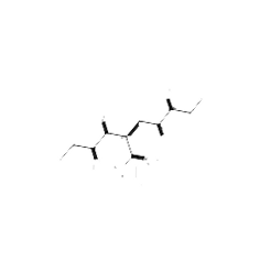 CCC(=O)C(=O)C=C(C(N)=O)C(=O)C(=O)CC